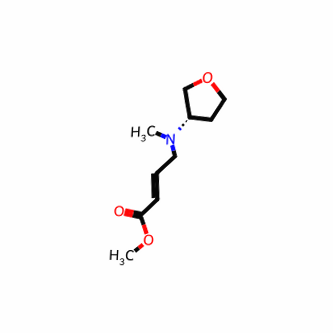 COC(=O)C=CCN(C)[C@H]1CCOC1